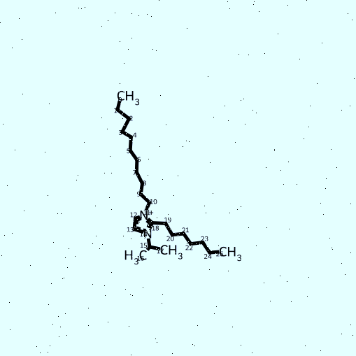 CCCCCCCCCCC[n+]1ccn(C(C)C)c1CCCCCCC